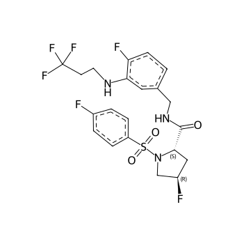 O=C(NCc1ccc(F)c(NCCC(F)(F)F)c1)[C@@H]1C[C@@H](F)CN1S(=O)(=O)c1ccc(F)cc1